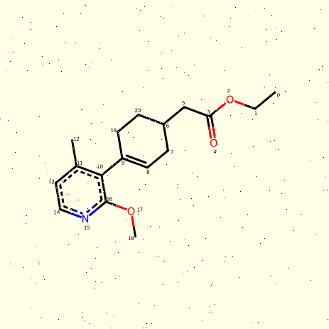 CCOC(=O)CC1CC=C(c2c(C)ccnc2OC)CC1